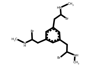 CNC(Br)Cc1cc(CC(Br)NC)cc(CC(Br)NC)c1